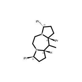 CC(C)[C@@H]1CC[C@H]2C(C)[C@@]3(C(C)C)CC[C@@H](C(C)C)P3CCP12